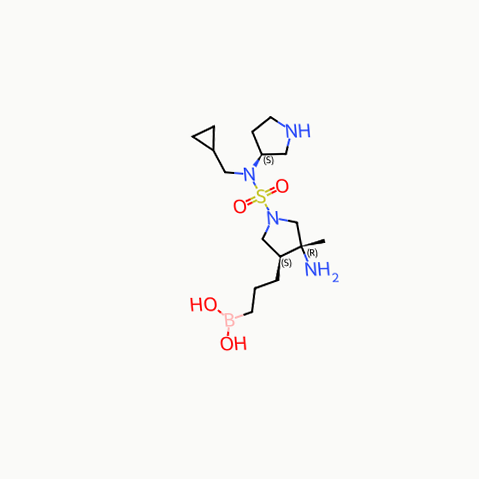 C[C@]1(N)CN(S(=O)(=O)N(CC2CC2)[C@H]2CCNC2)C[C@@H]1CCCB(O)O